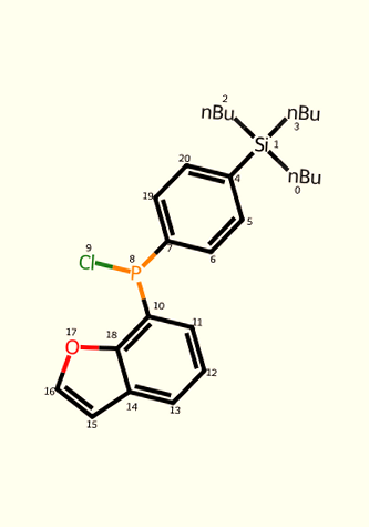 CCCC[Si](CCCC)(CCCC)c1ccc(P(Cl)c2cccc3ccoc23)cc1